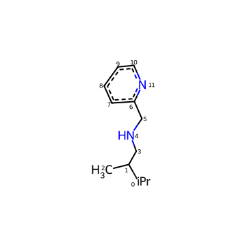 CC(C)C(C)CNCc1ccccn1